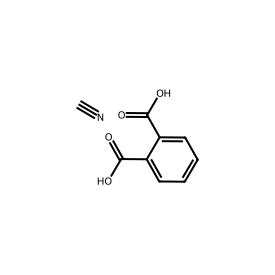 C#N.O=C(O)c1ccccc1C(=O)O